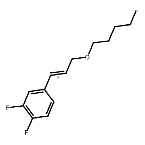 [CH2]CCCCOC/C=C/c1ccc(F)c(F)c1